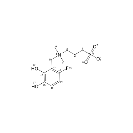 C[N+](C)(CCCS(=O)(=O)[O-])Cc1c(F)ccc(O)c1O